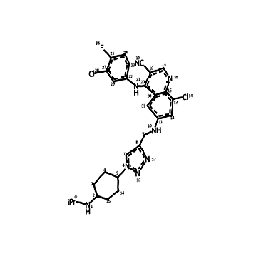 CC(C)NC1CCC(n2cc(CNc3cc(Cl)c4ncc(C#N)c(Nc5ccc(F)c(Cl)c5)c4c3)nn2)CC1